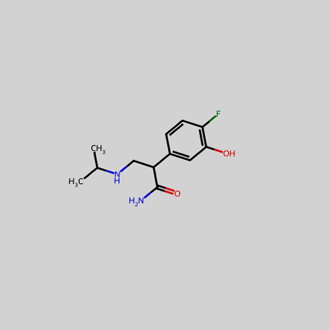 CC(C)NCC(C(N)=O)c1ccc(F)c(O)c1